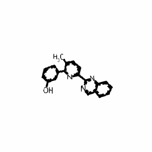 Cc1ccc(-c2ncc3ccccc3n2)nc1-c1cccc(O)c1